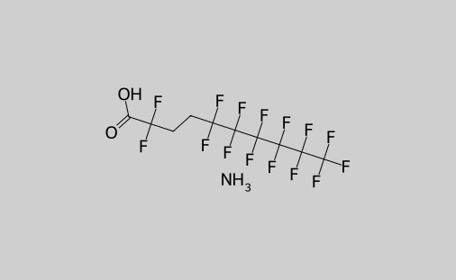 N.O=C(O)C(F)(F)CCC(F)(F)C(F)(F)C(F)(F)C(F)(F)C(F)(F)C(F)(F)F